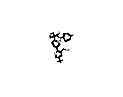 O=C(Nc1ccc(F)cc1)C1(c2ccc(-c3ncc(C(F)(F)F)cc3CO)cn2)COC1